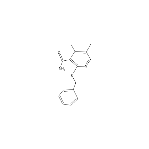 Cc1cnc(SCc2ccccc2)c(C(N)=O)c1C